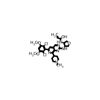 C=CC(O)N[C@H]1COC[C@H]1Nc1ncc2cc(-c3c(Cl)c(OC)cc(OC)c3Cl)nc(C3CCN(C)CC3)c2n1